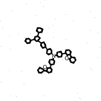 c1ccc(-c2cc(-c3ccccc3)cc(-c3ccc(-c4ccc(N(c5ccc(-c6cccc7c6oc6ccccc67)cc5)c5ccc(-c6cccc7c6oc6ccccc67)cc5)cc4)cc3)c2)cc1